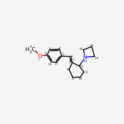 COc1ccc(/C=C2\CCCCC2N2CCC2)cc1